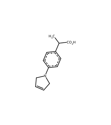 CC(C(=O)O)c1ccc(N2CC=CC2)cc1